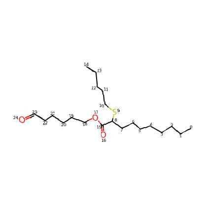 CCCCCCCCC(SCCCCC)C(=O)OCCCCCC=O